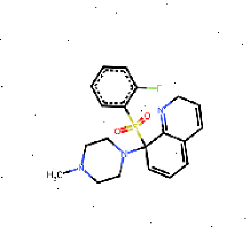 CN1CCN(C2(S(=O)(=O)c3ccccc3F)C=CC=C3C=CCN=C32)CC1